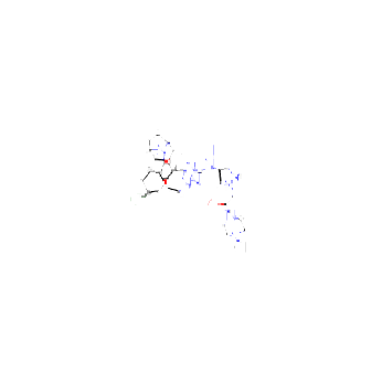 CN1CCN(C(=O)Cn2cc(Nc3nc4c(C5=CC6CCC(C5)N6Cc5ccc(Cl)cc5)cccn4n3)cn2)CC1